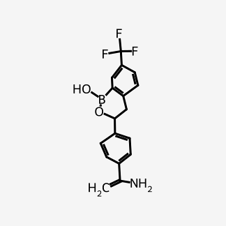 C=C(N)c1ccc(C2Cc3ccc(C(F)(F)F)cc3B(O)O2)cc1